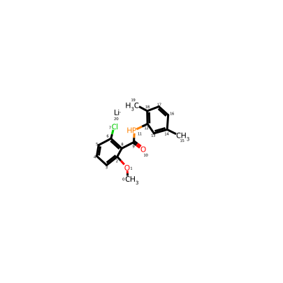 COc1cccc(Cl)c1C(=O)Pc1cc(C)ccc1C.[Li]